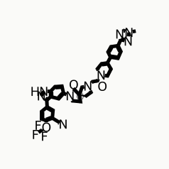 Cn1cnc(-c2ccc(C3=CCN(C(=O)CN4CC[C@]5(CCN(c6ccc7[nH]nc(-c8ccc(OC(F)(F)F)c(C#N)c8)c7c6)C5=O)C4)CC3)cc2)n1